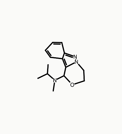 CC(C)N(C)C1OCCn2nc3ccccc3c21